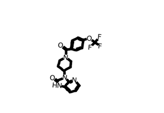 O=C(c1ccc(OC(F)(F)F)cc1)N1CCC(n2c(=O)[nH]c3cccnc32)CC1